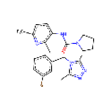 Cc1nc(C(F)(F)F)ccc1NC(=O)N1CCC[C@@H]1c1nnc(C)n1Cc1cccc(Br)c1